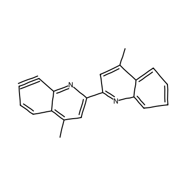 Cc1cc(-c2cc(C)c3ccccc3n2)nc2c#cccc12